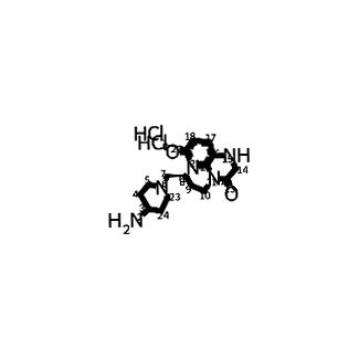 Cl.Cl.NC1CCN(C[C@@H]2CCN3C(=O)CNc4ccc(=O)n2c43)CC1